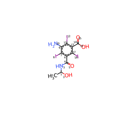 CC(O)NC(=O)c1c(I)c(N)c(I)c(C(=O)O)c1I